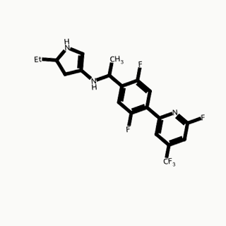 CCC1CC(NC(C)c2cc(F)c(-c3cc(C(F)(F)F)cc(F)n3)cc2F)=CN1